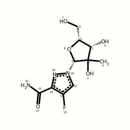 CC1(O)[C@@H](O)[C@@H](CO)O[C@H]1n1cc(F)c(C(N)=O)n1